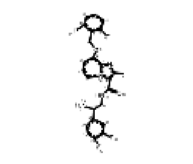 Cc1nc2c(OCc3c(F)cccc3F)cccn2c1C(=O)NCC(N)c1ccc(F)c(F)c1